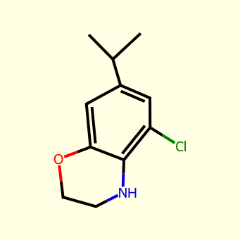 CC(C)c1cc(Cl)c2c(c1)OCCN2